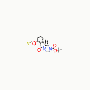 CC(C)(C)OC(=O)N1CCN2C(=O)c3c(OC=S)cccc3[C@H]2C1